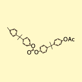 CC(=O)Oc1ccc(C(C)(C)c2ccc(OC(=O)Oc3ccc(C(C)(C)c4ccc(C)cc4)cc3)cc2)cc1